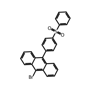 O=S(=O)(c1ccccc1)c1ccc(-c2c3ccccc3c(Br)c3ccccc23)cc1